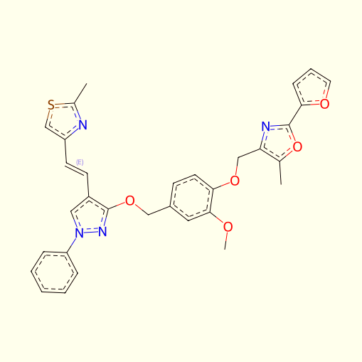 COc1cc(COc2nn(-c3ccccc3)cc2/C=C/c2csc(C)n2)ccc1OCc1nc(-c2ccco2)oc1C